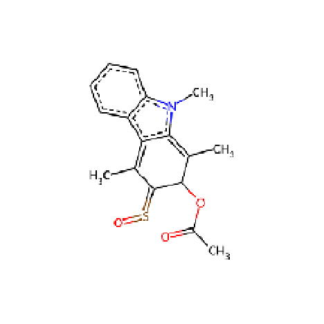 CC(=O)OC1C(=S=O)C(C)=c2c(n(C)c3ccccc23)=C1C